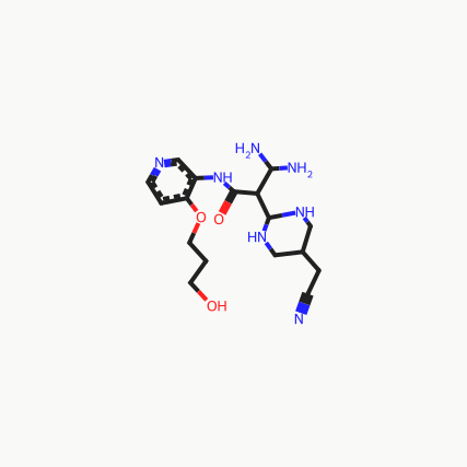 N#CCC1CNC(C(C(=O)Nc2cnccc2OCCCO)C(N)N)NC1